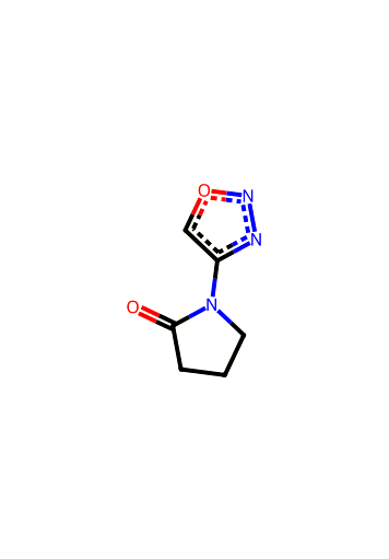 O=C1CCCN1c1conn1